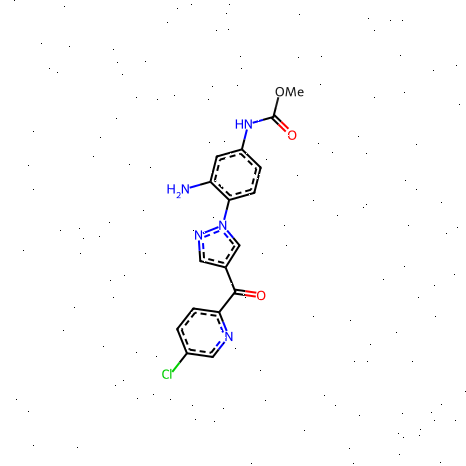 COC(=O)Nc1ccc(-n2cc(C(=O)c3ccc(Cl)cn3)cn2)c(N)c1